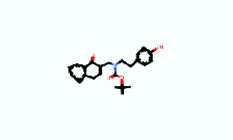 CC(C)(C)OC(=O)N(CCc1ccc(O)cc1)CC1CCc2ccccc2C1=O